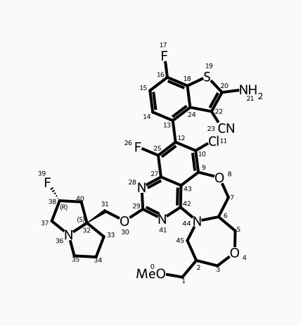 COCC1COCC2COc3c(Cl)c(-c4ccc(F)c5sc(N)c(C#N)c45)c(F)c4nc(OC[C@@]56CCCN5C[C@H](F)C6)nc(c34)N2C1